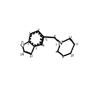 c1cc2c(cc1CN1CCCCC1)CCO2